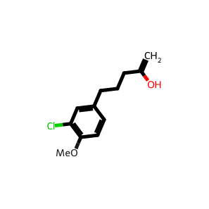 C=C(O)CCCc1ccc(OC)c(Cl)c1